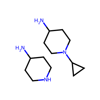 NC1CCN(C2CC2)CC1.NC1CCNCC1